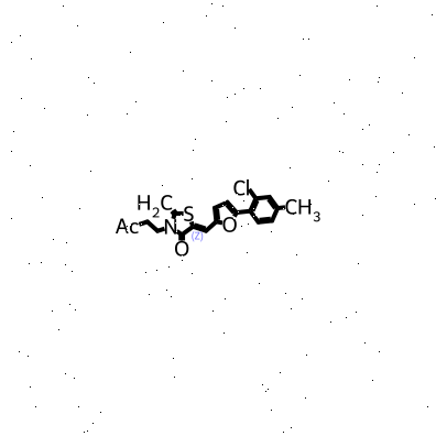 C=c1s/c(=C\c2ccc(-c3ccc(C)cc3Cl)o2)c(=O)n1CCC(C)=O